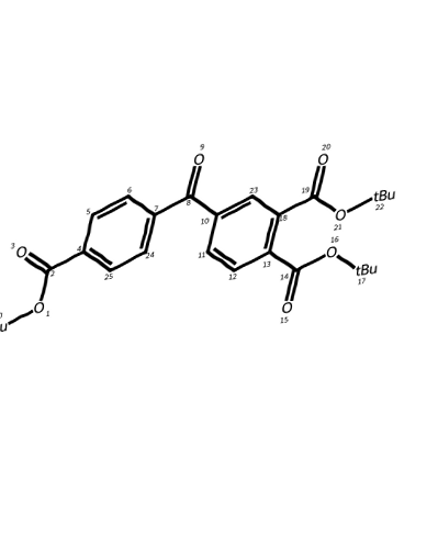 CC(C)(C)OC(=O)c1ccc(C(=O)c2ccc(C(=O)OC(C)(C)C)c(C(=O)OC(C)(C)C)c2)cc1